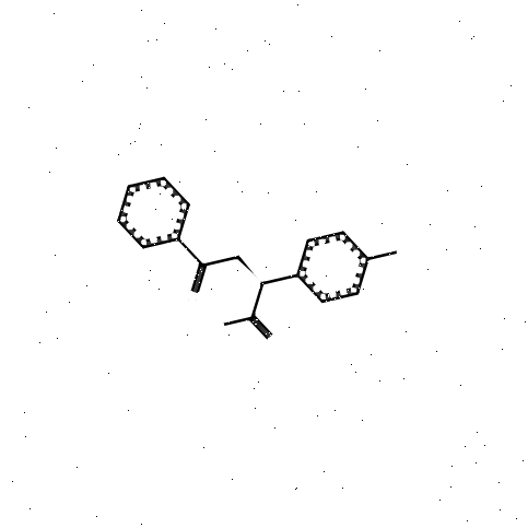 O=C(C[C@H](C(=O)O)c1ccc(Cl)cc1)c1ccccc1